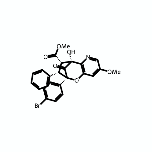 COC(=O)[C@H]1[C@@H](c2ccccc2)[C@]2(c3ccc(Br)cc3)Oc3cc(OC)cnc3[C@@]1(O)C2=O